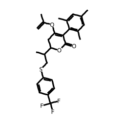 C=C(C)OC1=C(c2c(C)cc(C)cc2C)C(=O)OC(C(C)CSc2ccc(C(F)(F)F)cc2)C1